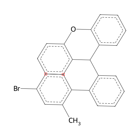 Cc1cc(Br)ccc1-c1ccccc1C1c2ccccc2Oc2ccccc21